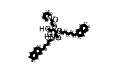 O=C(O)C(OCC(=O)[n+]1ccccc1)C(OCCCCCc1ccc2ccccc2c1)C(=O)NCCCCCc1ccc2ccccc2c1